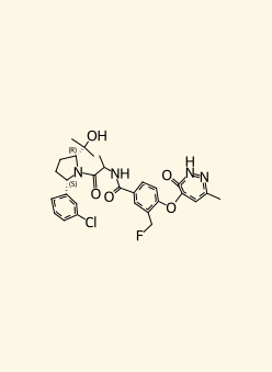 Cc1cc(Oc2ccc(C(=O)NC(C)C(=O)N3[C@H](c4cccc(Cl)c4)CC[C@@H]3C(C)(C)O)cc2CF)c(=O)[nH]n1